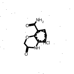 Cl.NC(=O)c1cccc2c1OCC(=O)N2